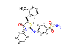 Cc1ccccc1C=C1S/C(=N\c2ccc(S(N)(=O)=O)cc2)N(C2CCCCC2)C1=O